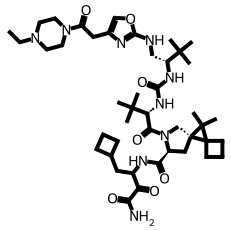 CCN1CCN(C(=O)Cc2coc(NC[C@@H](NC(=O)N[C@H](C(=O)N3C[C@]4(C[C@H]3C(=O)NC(CC3CCC3)C(=O)C(N)=O)C(C)(C)C43CCC3)C(C)(C)C)C(C)(C)C)n2)CC1